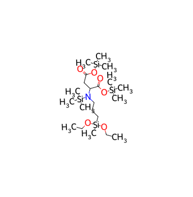 CCO[Si](C)(CCCN(C(CC(=O)O[Si](C)(C)C)C(=O)O[Si](C)(C)C)[Si](C)(C)C)OCC